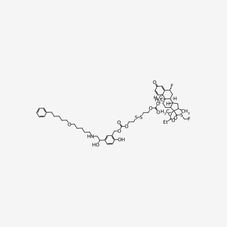 CCC(=O)O[C@]1(C(=O)SCF)[C@H](C)C[C@H]2[C@@H]3C[C@H](F)C4=CC(=O)C=C[C@]4(C)[C@@]3(C)[C@@H](OC(=O)OCCSSCCOC(=O)OCc3cc(C(O)CNCCCCCOCCCCCc4ccccc4)ccc3O)C[C@@]21C